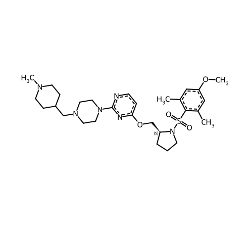 COc1cc(C)c(S(=O)(=O)N2CCC[C@H]2COc2ccnc(N3CCN(CC4CCN(C)CC4)CC3)n2)c(C)c1